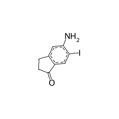 Nc1cc2c(cc1I)C(=O)CC2